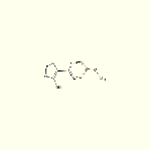 COc1ccc(C2=C(O)O[N]S2)cc1